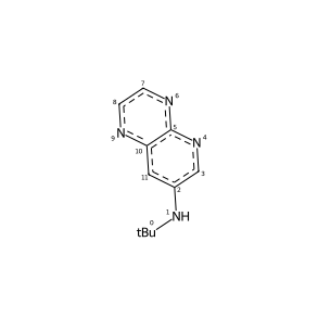 CC(C)(C)Nc1cnc2nccnc2c1